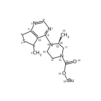 CC1SCc2ncnc(N3CCN(C(=O)OC(C)(C)C)C[C@@H]3C)c21